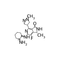 CC1NC(=O)c2c(C3C=NN(C)C3)nc(N[C@@H]3CCCC[C@@H]3N)c(F)c21